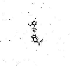 CCc1ccccc1-n1nnc(Sc2nc3ccc([N+](=O)[O-])cc3s2)n1